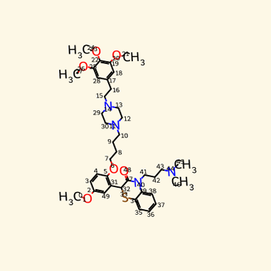 COc1ccc(OCCCCN2CCN(CCc3cc(OC)c(OC)c(OC)c3)CC2)c(C2Sc3ccccc3N(CCCN(C)C)C2=O)c1